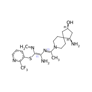 C=N/C(Sc1cccnc1C(F)(F)F)=C(N)\N=C(/C)N1CCC2(CC1)C[C@@H](O)C[C@H]2N